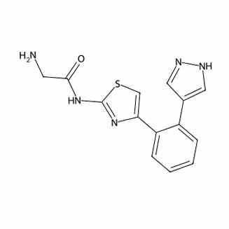 NCC(=O)Nc1nc(-c2ccccc2-c2cn[nH]c2)cs1